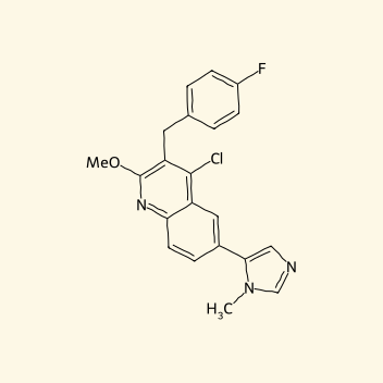 COc1nc2ccc(-c3cncn3C)cc2c(Cl)c1Cc1ccc(F)cc1